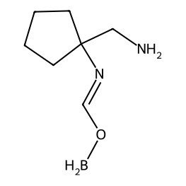 BOC=NC1(CN)CCCC1